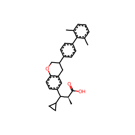 Cc1cccc(C)c1-c1ccc(C2COc3ccc(C(C4CC4)[C@H](C)C(=O)O)cc3C2)cc1